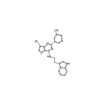 CC(C)c1csc2c(NCCc3c[nH]c4ccccc34)nc(-c3cncc(C#N)c3)nc12